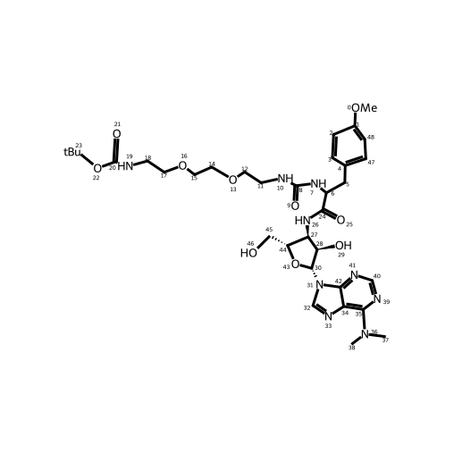 COc1ccc(CC(NC(=O)NCCOCCOCCNC(=O)OC(C)(C)C)C(=O)N[C@H]2[C@@H](O)[C@H](n3cnc4c(N(C)C)ncnc43)O[C@@H]2CO)cc1